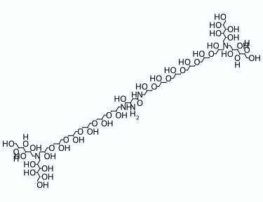 N[C@H](CC(=O)NCC(O)COCC(O)COCC(O)COCC(O)COCC(O)COCC(O)CN(C[C@H](O)[C@@H](O)[C@H](O)[C@H](O)CO)C[C@H](O)[C@@H](O)[C@H](O)[C@H](O)CO)C(O)NCC(O)COCC(O)COCC(O)COCC(O)COCC(O)COCC(O)CN(C[C@H](O)[C@@H](O)[C@H](O)[C@H](O)CO)C[C@H](O)[C@@H](O)[C@H](O)[C@H](O)CO